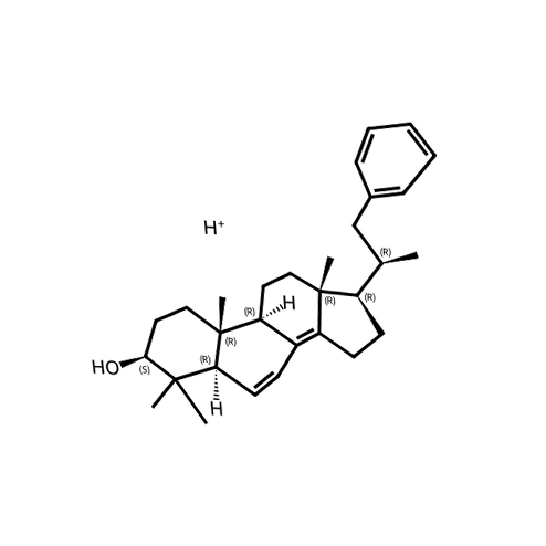 C[C@H](Cc1ccccc1)[C@H]1CCC2=C3C=C[C@H]4C(C)(C)[C@@H](O)CC[C@]4(C)[C@H]3CC[C@@]21C.[H+]